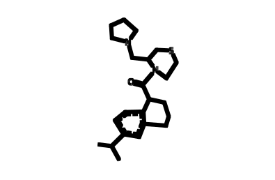 CC(C)c1ccc2c(c1)CCCC2C(=O)N1CCSCC1CN1CCCC1